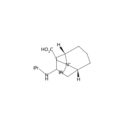 CC(C)NC1C[C@H]2CCC[C@@H](C1)[N+]2(CC(=O)O)C(C)C